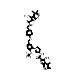 Cc1nnc2sc(C(=O)NCc3ccc(SCc4ccc(OC(F)(F)F)c(N5CCC(NC(=O)c6sc7nnc(C)c(C)c7c6N)C5)c4)cc3)c(N)c2c1C